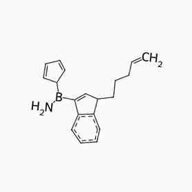 C=CCCCC1C=C(B(N)C2C=CC=C2)c2ccccc21